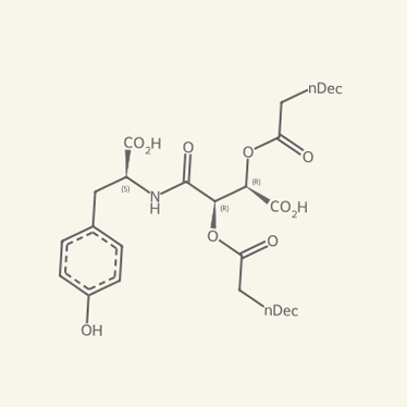 CCCCCCCCCCCC(=O)O[C@@H](C(=O)O)[C@@H](OC(=O)CCCCCCCCCCC)C(=O)N[C@@H](Cc1ccc(O)cc1)C(=O)O